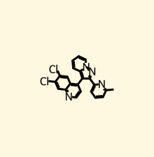 Cc1cccc(-c2nn3ccccc3c2-c2ccnc3cc(Cl)c(Cl)cc23)n1